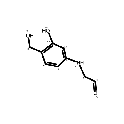 O=[C]CNc1ccc(CO)c(O)c1